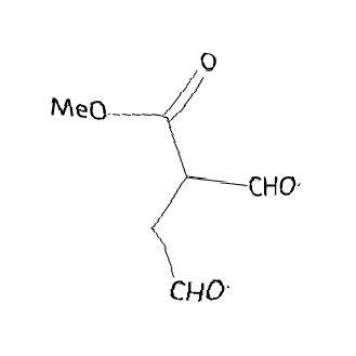 COC(=O)C([C]=O)C[C]=O